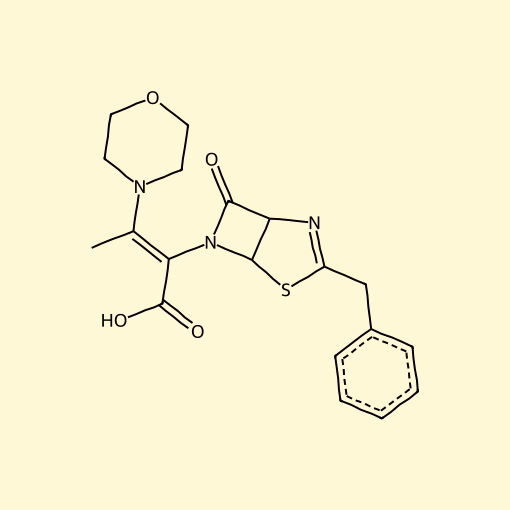 CC(=C(C(=O)O)N1C(=O)C2N=C(Cc3ccccc3)SC21)N1CCOCC1